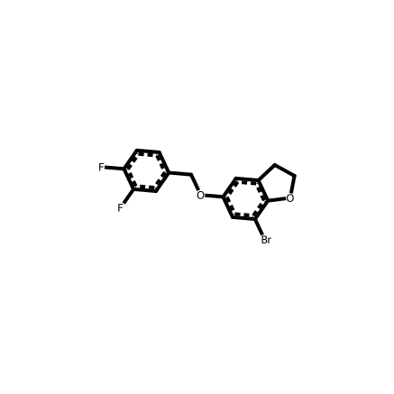 Fc1ccc(COc2cc(Br)c3c(c2)CCO3)cc1F